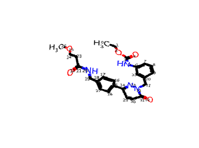 CCOC(=O)Nc1cccc(Cn2nc(-c3ccc(CNC(=O)CCOC)cc3)ccc2=O)c1